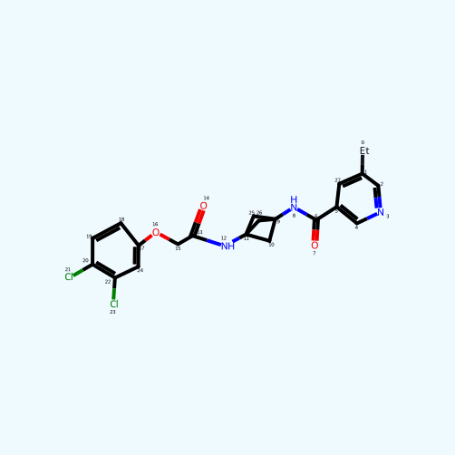 CCc1cncc(C(=O)NC23CC(NC(=O)COc4ccc(Cl)c(Cl)c4)(C2)C3)c1